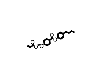 C=CC(=O)OCOC1CCC(C(=O)Oc2ccc(CCCC)cc2)CC1